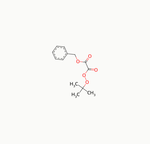 CC(C)(C)OOC(=O)C(=O)OCc1ccccc1